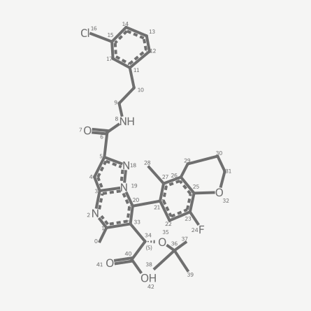 Cc1nc2cc(C(=O)NCCc3cccc(Cl)c3)nn2c(-c2cc(F)c3c(c2C)CCCO3)c1[C@H](OC(C)(C)C)C(=O)O